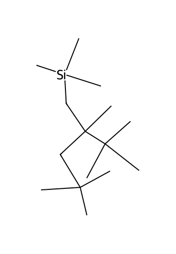 CC(C)(C)CC(C)(C[Si](C)(C)C)C(C)(C)C